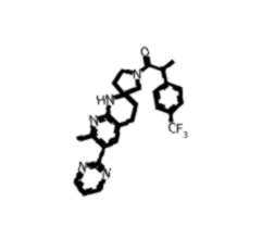 Cc1nc2c(cc1-c1ncccn1)CCC1(CCN(C(=O)C(C)c3ccc(C(F)(F)F)cc3)C1)N2